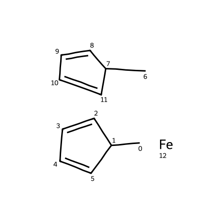 CC1C=CC=C1.CC1C=CC=C1.[Fe]